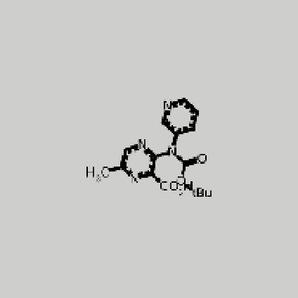 Cc1cnc(N(C(=O)OC(C)(C)C)c2cccnc2)c(C(=O)O)n1